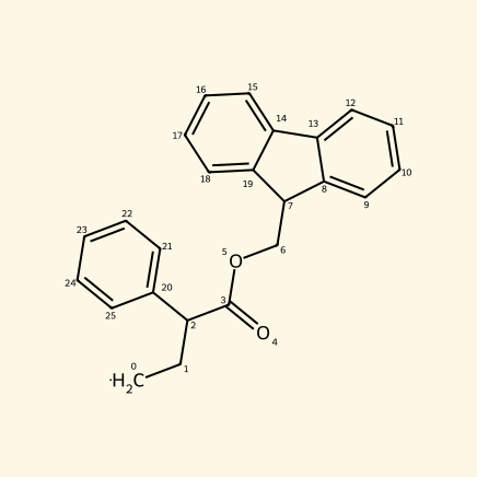 [CH2]CC(C(=O)OCC1c2ccccc2-c2ccccc21)c1ccccc1